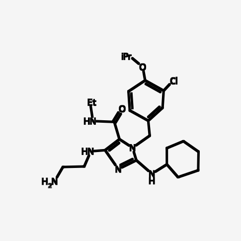 CCNC(=O)c1c(NCCN)nc(NC2CCCCC2)n1Cc1ccc(OC(C)C)c(Cl)c1